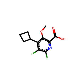 COc1c(C(=O)O)nc(F)c(F)c1C1CCC1